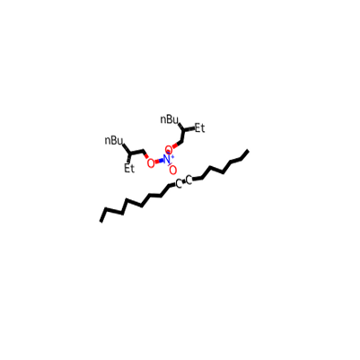 CCCCC(CC)CO[N+](=O)OCC(CC)CCCC.CCCCCCCCCCCCCCCC